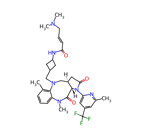 Cc1cc(C(F)(F)F)cc(N2C(=O)C[C@@H]3CN(CC4CC(NC(=O)/C=C/CN(C)C)C4)c4c(C)cccc4N(C)C(=O)[C@H]32)n1